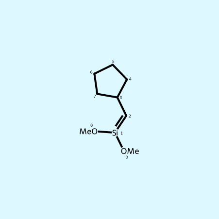 CO[Si](=CC1CCCC1)OC